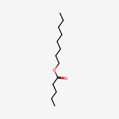 [CH2]CCCCCCCOC(=O)CCCC